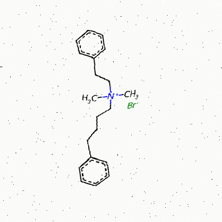 C[N+](C)(CCCCc1ccccc1)CCc1ccccc1.[Br-]